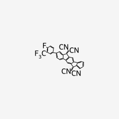 [C-]#[N+]/C(C#N)=C1/c2ccccc2-c2cc3c(cc21)-c1ccc(-c2ccc(F)c(C(F)(F)F)c2)cc1/C3=C(/C#N)[N+]#[C-]